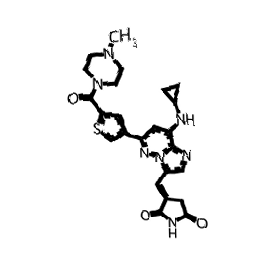 CN1CCN(C(=O)c2cc(-c3cc(NC4CC4)c4ncc(/C=C5\CC(=O)NC5=O)n4n3)cs2)CC1